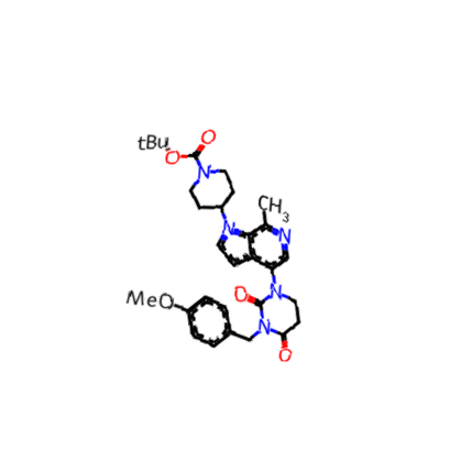 COc1ccc(CN2C(=O)CCN(c3cnc(C)c4c3ccn4C3CCN(C(=O)OC(C)(C)C)CC3)C2=O)cc1